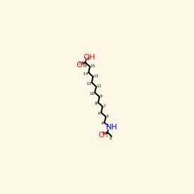 CC(=O)NCCCCCCCCCCCCC(=O)O